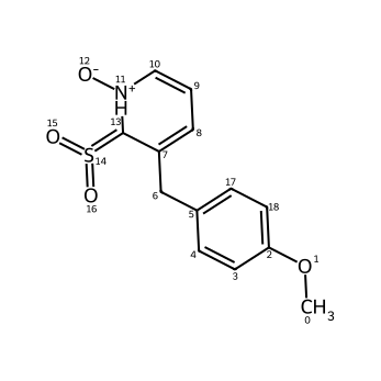 COc1ccc(CC2=CC=C[NH+]([O-])C2=S(=O)=O)cc1